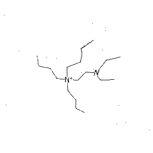 CCCC[N+](CCCC)(CCCC)CCN(CC)CC